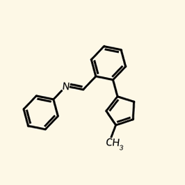 CC1=CCC(c2ccccc2C=Nc2ccccc2)=C1